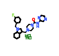 Cl.Cl.O=C(Nc1cnccn1)N1CCN(Cc2cn(Cc3cccc(F)c3)c3ccccc23)CC1